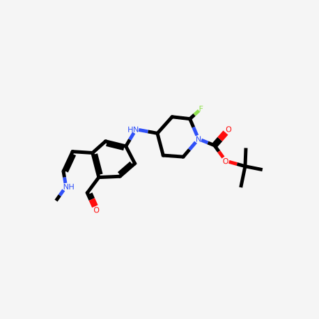 CN/C=C\c1cc(NC2CCN(C(=O)OC(C)(C)C)C(F)C2)ccc1C=O